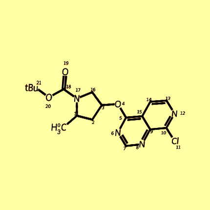 CC1CC(Oc2ncnc3c(Cl)nccc23)CN1C(=O)OC(C)(C)C